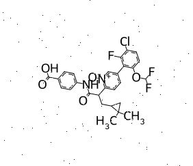 CC1(C)CC1CC(C(=O)Nc1ccc(C(=O)O)cc1)c1ccc(-c2c(OC(F)F)ccc(Cl)c2F)c[n+]1[O-]